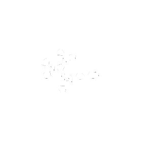 c1ccc(-c2nc(-c3ccc(-c4ccncc4)cc3)cc(-c3cc(-n4c5ccccc5c5ccccc54)cc(-n4c5ccccc5c5ccccc54)c3)n2)cc1